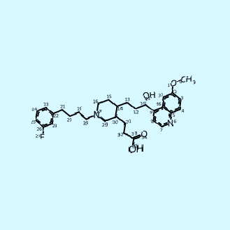 COc1ccc2nccc([C@@H](O)CCC3CCN(CCCCc4cccc(F)c4)CC3CCC(=O)O)c2c1